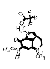 CNC1=CC2=[N+](C)CCc3cn(C)c(c32)C1=O.O=C([O-])C(F)(F)F